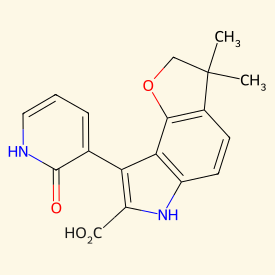 CC1(C)COc2c1ccc1[nH]c(C(=O)O)c(-c3ccc[nH]c3=O)c21